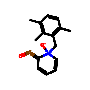 Cc1ccc(C)c(C[N+]2([O-])C=CC=CC2=S=O)c1C